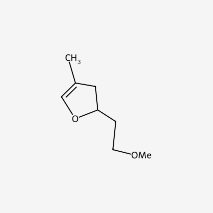 COCCC1CC(C)=CO1